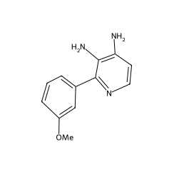 COc1cccc(-c2nccc(N)c2N)c1